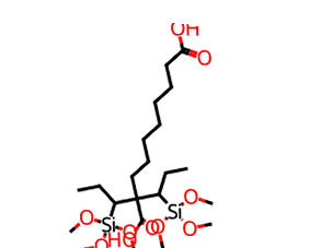 CCC(C(CCCCCCCC(=O)O)(C(=O)O)C(CC)[Si](OC)(OC)OC)[Si](OC)(OC)OC